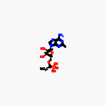 CCOC(=O)[C@@H](OC[C@H]1O[C@@H](n2cnc3c(N)nc(C)nc32)[C@H](O)[C@@H]1O)P(=O)(O)O